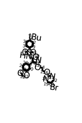 CC(C)(C)c1ccc(S(=O)(=O)Nc2onc(OCCOc3ncc(Br)cn3)c2-c2ccc3c(c2)OCO3)cc1